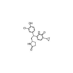 O=C1CC[C@H](CC(c2ccc(O)c(Cl)c2)c2ccc(C3CC3)c(=O)[nH]2)N1